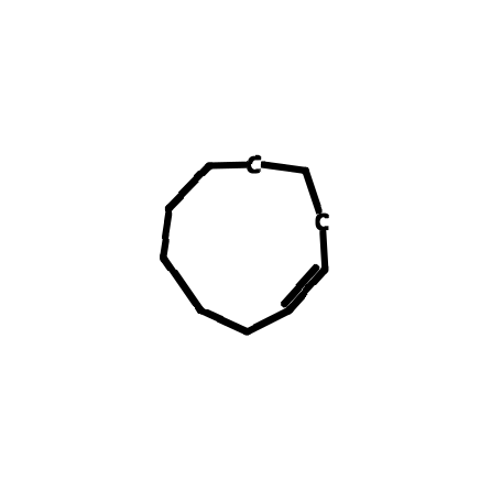 [CH]1CC/C=C\CCCCC1